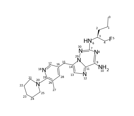 CCC[C@@H](CF)Nc1nc(N)c2ncc(Cc3cnc(N4CCCCC4)c(C)c3)n2n1